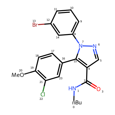 CCCCNC(=O)c1cnn(-c2cccc(Br)c2)c1-c1ccc(OC)c(Cl)c1